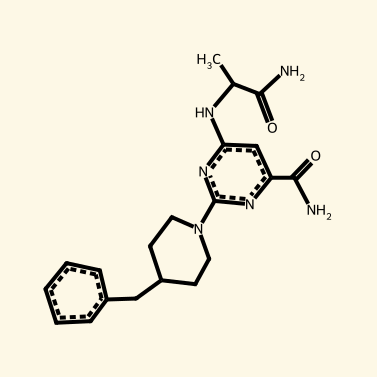 CC(Nc1cc(C(N)=O)nc(N2CCC(Cc3ccccc3)CC2)n1)C(N)=O